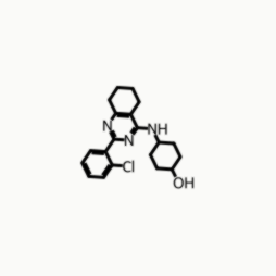 OC1CCC(Nc2nc(-c3ccccc3Cl)nc3c2CCCC3)CC1